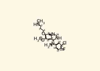 CNCCCOc1cc2c(cc1OC)[C@H](N(N)c1ccc(F)c(Cl)c1)NCN2